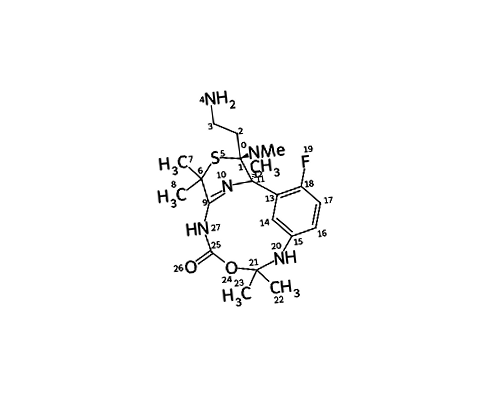 CN[C@]1(CCN)SC(C)(C)C2=N[C@]1(C)c1cc(ccc1F)NC(C)(C)OC(=O)N2